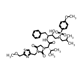 COCc1nc(CN2C(=O)CN([C@H](C(=O)N[C@@H](Cc3ccccc3)[C@@H](O)CN(CC(C)C)S(=O)(=O)c3ccc(OC)cc3)C(C)C)C2=O)cs1